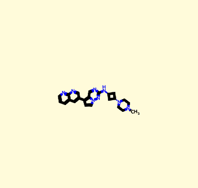 CN1CCN([C@H]2C[C@H](Nc3ncc4c(-c5cnc6ncccc6c5)ccn4n3)C2)CC1